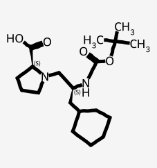 CC(C)(C)OC(=O)N[C@@H](CC1CCCCC1)CN1CCC[C@H]1C(=O)O